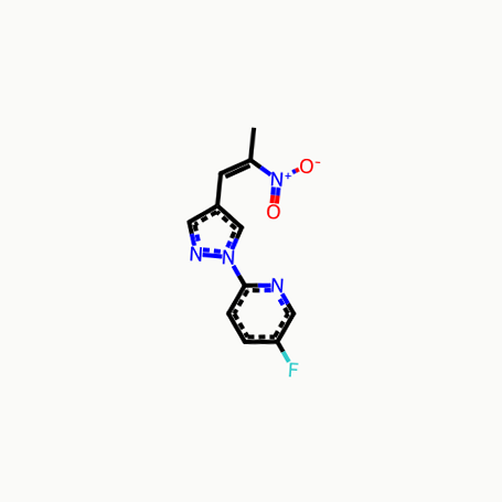 CC(=Cc1cnn(-c2ccc(F)cn2)c1)[N+](=O)[O-]